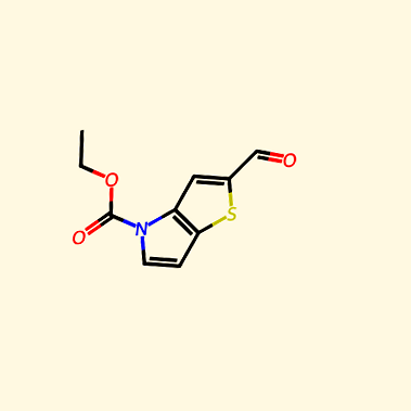 CCOC(=O)n1ccc2sc(C=O)cc21